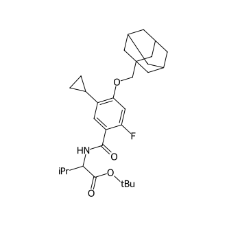 CC(C)C(NC(=O)c1cc(C2CC2)c(OCC23CC4CC(CC(C4)C2)C3)cc1F)C(=O)OC(C)(C)C